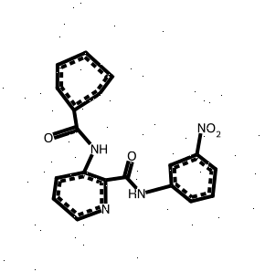 O=C(Nc1cccnc1C(=O)Nc1cccc([N+](=O)[O-])c1)c1ccccc1